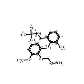 COCOc1c(OC)cccc1Pc1c(C)cccc1CNC(C)(C)C